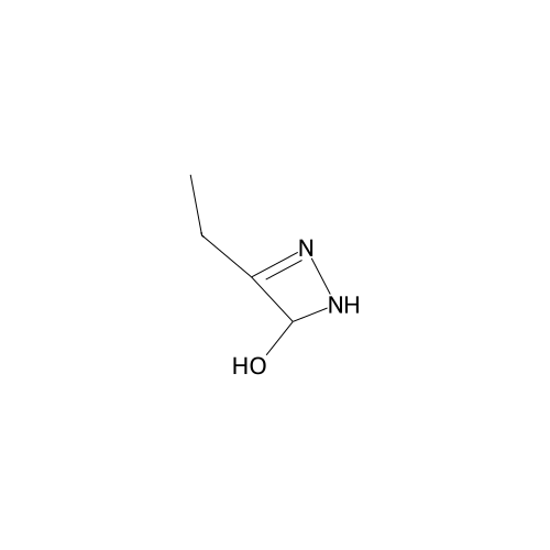 CCC1=NNC1O